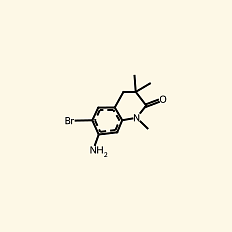 CN1C(=O)C(C)(C)Cc2cc(Br)c(N)cc21